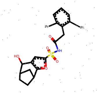 CC(C)c1cccc(C(C)C)c1CC(=O)NS(=O)(=O)c1cc2c(o1)C1CCC(C1)C2O